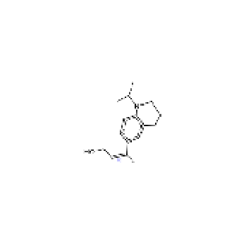 C/C(=C/CO)c1ccc2c(c1)CCCN2C(C)C